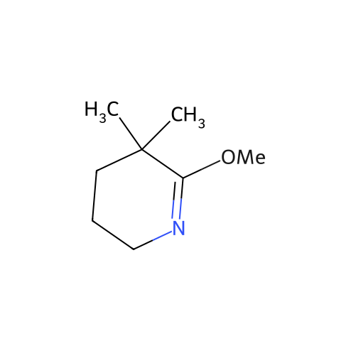 COC1=NCCCC1(C)C